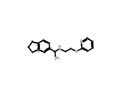 CC(NCCOc1ccccn1)c1ccc2c(c1)CCC2